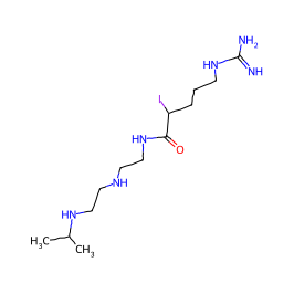 CC(C)NCCNCCNC(=O)C(I)CCCNC(=N)N